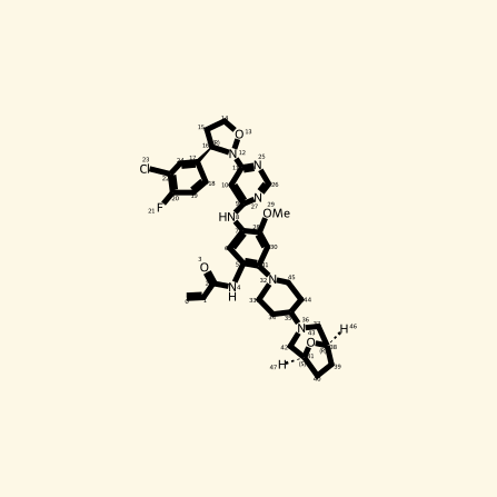 C=CC(=O)Nc1cc(Nc2cc(N3OCC[C@@H]3c3ccc(F)c(Cl)c3)ncn2)c(OC)cc1N1CCC(N2C[C@H]3CC[C@@H](C2)O3)CC1